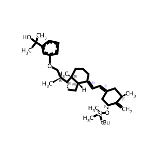 C=C1[C@H](C)C/C(=C/C=C2\CCC[C@]3(C)[C@@H]([C@@H](C)COc4cccc(C(C)(C)O)c4)CC[C@@H]23)C[C@H]1O[Si](C)(C)C(C)(C)C